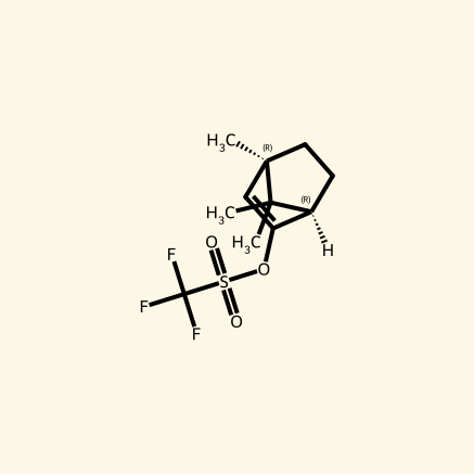 CC1(C)[C@H]2CC[C@]1(C)C=C2OS(=O)(=O)C(F)(F)F